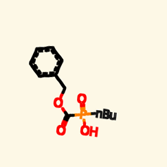 CCCCP(=O)(O)C(=O)OCc1ccccc1